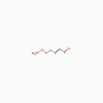 COCCC=C[C]=O